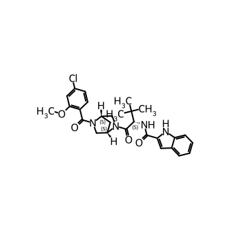 COc1cc(Cl)ccc1C(=O)N1C[C@@H]2C[C@H]1CN2C(=O)[C@@H](NC(=O)c1cc2ccccc2[nH]1)C(C)(C)C